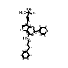 CC(C)C(C)(O)C#Cc1csc2c(NCCCc3ccccc3)nc(-c3ccncc3)nc12